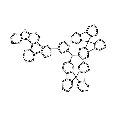 c1cc(-c2ccc3c4ccccc4c4c(ccc5oc6ccccc6c54)c3c2)cc(N(c2ccc3c(c2)C2(c4ccccc4-c4ccccc42)c2ccccc2-3)c2ccc3c(c2)C2(c4ccccc4-c4ccccc42)c2ccccc2-3)c1